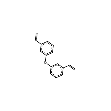 C=Cc1cccc(Oc2cccc(C=C)c2)c1